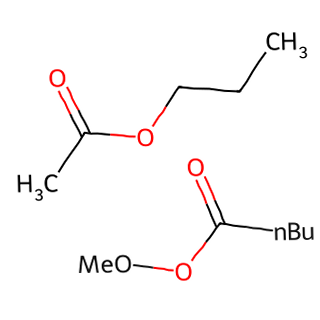 CCCCC(=O)OOC.CCCOC(C)=O